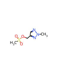 Cn1ncc(COS(C)(=O)=O)n1